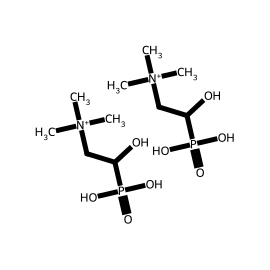 C[N+](C)(C)CC(O)P(=O)(O)O.C[N+](C)(C)CC(O)P(=O)(O)O